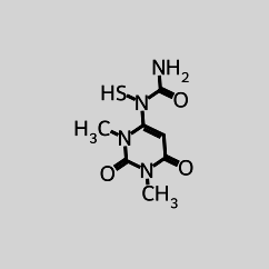 Cn1c(N(S)C(N)=O)cc(=O)n(C)c1=O